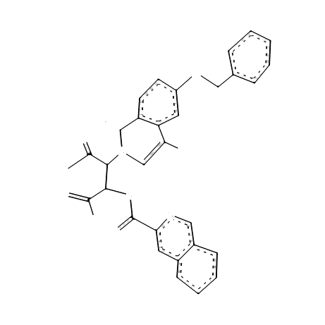 O=C(NC(C(=O)O)C(C(=O)O)N1C=C(O)c2cc(OCc3ccccc3)ccc2[C@H]1Cl)c1cc2ccccc2cn1